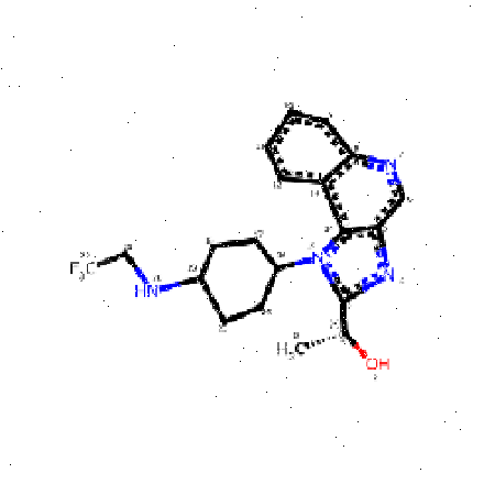 C[C@@H](O)c1nc2cnc3ccccc3c2n1C1CCC(NCC(F)(F)F)CC1